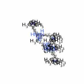 CN(CCCCCCN(C)c1nc(NCCCCC2CC(C)(C)N(C)C(C)(C)C2)nc(NCCCCC2CC(C)(C)N(C)C(C)(C)C2)n1)c1nc(NCCCCC2CC(C)(C)N(C)C(C)(C)C2)nc(NCCCCC2CC(C)(C)N(C)C(C)(C)C2)n1